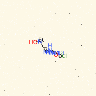 CCN(CCO)CC/C=C/c1ccc2c(Nc3cc(CC(=O)Nc4cccc(Cl)c4F)[nH]n3)ncnc2c1